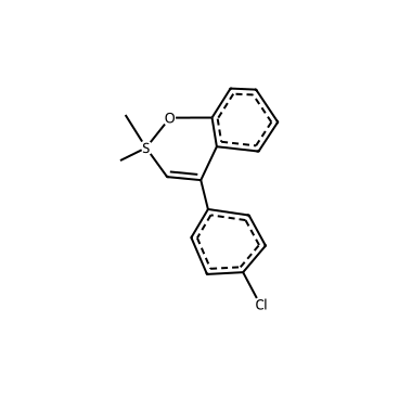 CS1(C)C=C(c2ccc(Cl)cc2)c2ccccc2O1